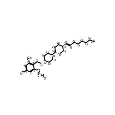 COc1cc(F)cc(F)c1CC[C@H]1CC[C@H]([C@H]2CC[C@H](C=CCCCCCF)CC2)CC1